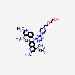 Cc1cc(N(C)C)c2cc(N(c3ccc4nc(C)cc(N(C)C)c4c3)c3ncnc(N4CCN(CCOCCO)CC4)n3)ccc2n1